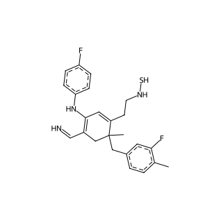 Cc1ccc(CC2(C)CC(C=N)=C(Nc3ccc(F)cc3)C=C2CCNS)cc1F